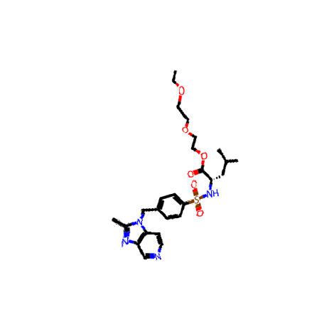 CCOCCOCCOC(=O)[C@H](CC(C)C)NS(=O)(=O)c1ccc(Cn2c(C)nc3cnccc32)cc1